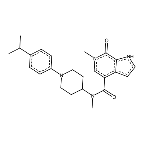 CC(C)c1ccc(N2CCC(N(C)C(=O)c3cn(C)c(=O)c4[nH]ccc34)CC2)cc1